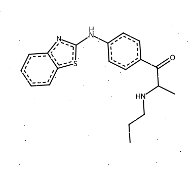 CCCNC(C)C(=O)c1ccc(Nc2nc3ccccc3s2)cc1